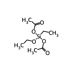 CCO[Si](CC)(OC(C)=O)OC(C)=O